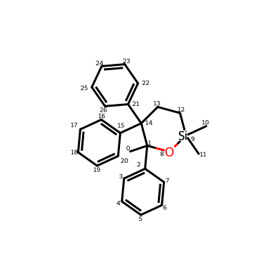 CC1(c2ccccc2)O[Si](C)(C)CCC1(c1ccccc1)c1ccccc1